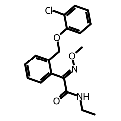 CCNC(=O)/C(=N/OC)c1ccccc1COc1ccccc1Cl